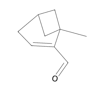 CC12CC(CC=C1C=O)C2